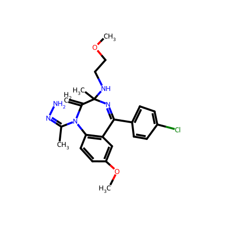 C=C1N(/C(C)=N\N)c2ccc(OC)cc2C(c2ccc(Cl)cc2)=NC1(C)NCCOC